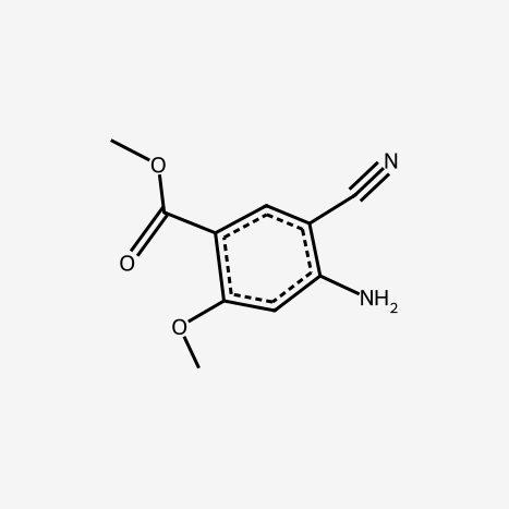 COC(=O)c1cc(C#N)c(N)cc1OC